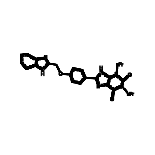 CCCn1c(=O)c2nc(-c3ccc(OCc4nc5ccccc5[nH]4)cc3)[nH]c2n(CCC)c1=O